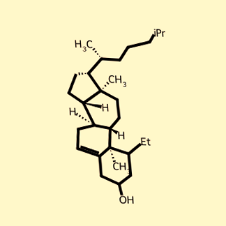 CCC1CC(O)CC2=CC[C@H]3[C@@H]4CC[C@H]([C@H](C)CCCC(C)C)[C@@]4(C)CC[C@@H]3[C@]21C